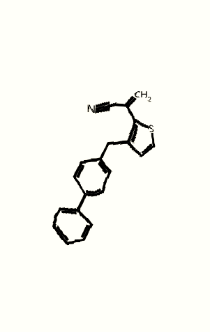 C=C(C#N)c1sccc1Cc1ccc(-c2ccccc2)cc1